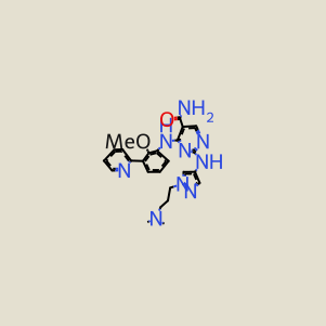 COc1c(Nc2nc(Nc3cnn(CCCN(C)C)c3)ncc2C(N)=O)cccc1-c1ccccn1